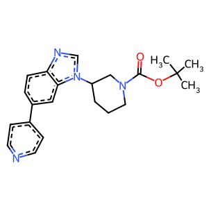 CC(C)(C)OC(=O)N1CCCC(n2cnc3ccc(-c4ccncc4)cc32)C1